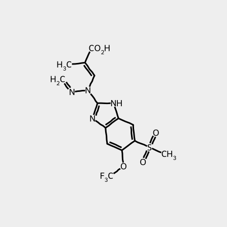 C=NN(/C=C(\C)C(=O)O)c1nc2cc(OC(F)(F)F)c(S(C)(=O)=O)cc2[nH]1